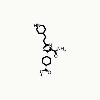 COC(=O)[C@H]1CC[C@H](c2sc(CCC3CCNCC3)nc2C(N)=O)CC1